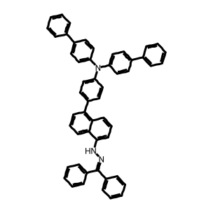 c1ccc(C(=NNc2cccc3c(-c4ccc(N(c5ccc(-c6ccccc6)cc5)c5ccc(-c6ccccc6)cc5)cc4)cccc23)c2ccccc2)cc1